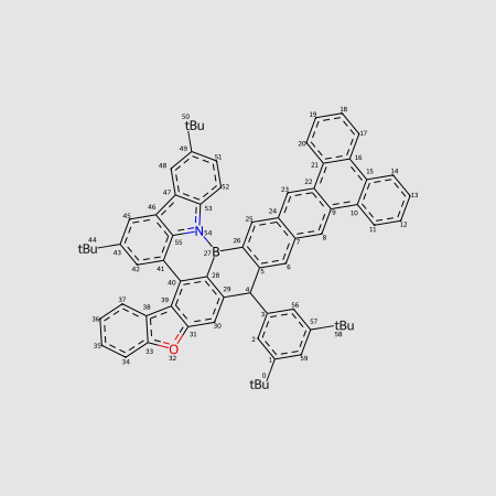 CC(C)(C)c1cc(C2c3cc4cc5c6ccccc6c6ccccc6c5cc4cc3B3c4c2cc2oc5ccccc5c2c4-c2cc(C(C)(C)C)cc4c5cc(C(C)(C)C)ccc5n3c24)cc(C(C)(C)C)c1